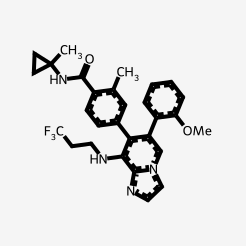 COc1ccccc1-c1cn2ccnc2c(NCCC(F)(F)F)c1-c1ccc(C(=O)NC2(C)CC2)c(C)c1